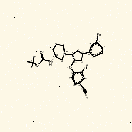 CC(C)(C)OC(=O)N[C@@H]1CCCN(C2CC(c3cccc(F)c3)CC2Oc2ccc(C#N)cc2Cl)C1